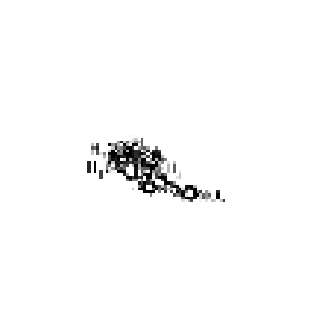 C[Si](C)(CCCCOc1ccc([N+](=O)[O-])cc1)O[Si](C)(C)O[Si](C)(C)O[Si](C)(C)O[Si](C)(C)O[Si](C)(C)CCCCOc1ccc([N+](=O)[O-])cc1